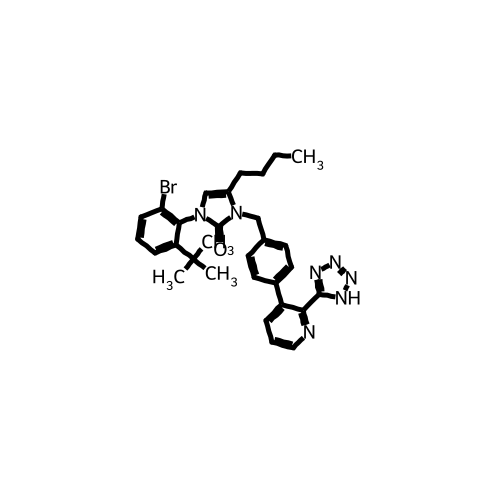 CCCCc1cn(-c2c(Br)cccc2C(C)(C)C)c(=O)n1Cc1ccc(-c2cccnc2-c2nnn[nH]2)cc1